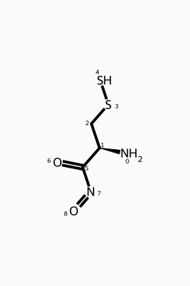 N[C@H](CSS)C(=O)N=O